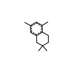 Cc1cc(C)c2c(c1)CC(C)(C)CC2